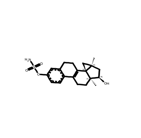 C[C@]12C[C@@H](O)[C@@]3(C)CCC4=C(CCc5cc(OS(N)(=O)=O)ccc54)[C@]13C2